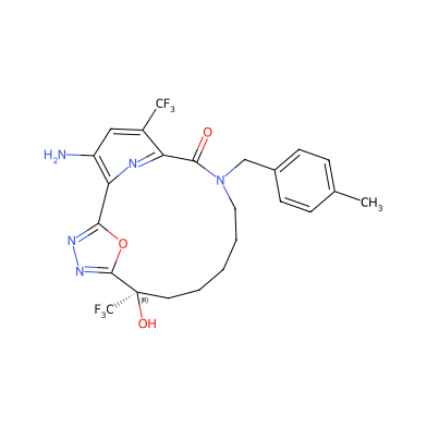 Cc1ccc(CN2CCCCC[C@](O)(C(F)(F)F)c3nnc(o3)-c3nc(c(C(F)(F)F)cc3N)C2=O)cc1